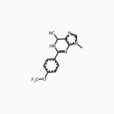 Cn1cnc2c1N=C(c1ccc(OC(F)(F)F)cc1)NC2C#N